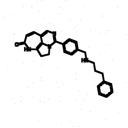 O=C1C=CC2=CN=C(c3ccc(CNCCCc4ccccc4)cc3)N3CCC(=C23)N1